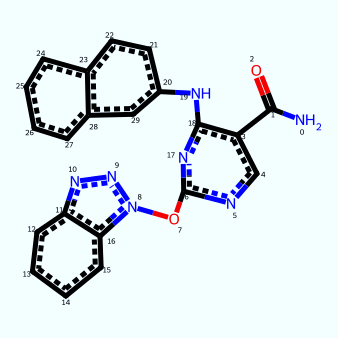 NC(=O)c1cnc(On2nnc3ccccc32)nc1Nc1ccc2ccccc2c1